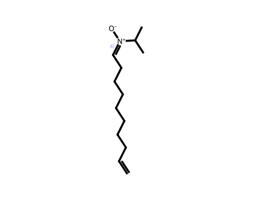 C=CCCCCCCC/C=[N+](/[O-])C(C)C